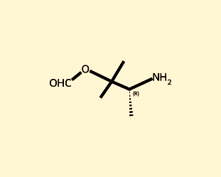 C[C@@H](N)C(C)(C)OC=O